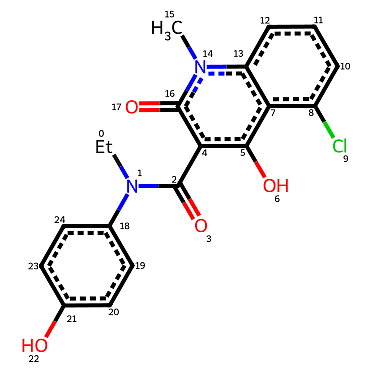 CCN(C(=O)c1c(O)c2c(Cl)cccc2n(C)c1=O)c1ccc(O)cc1